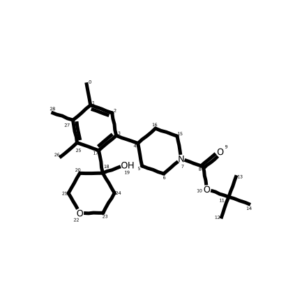 Cc1cc(C2CCN(C(=O)OC(C)(C)C)CC2)c(C2(O)CCOCC2)c(C)c1C